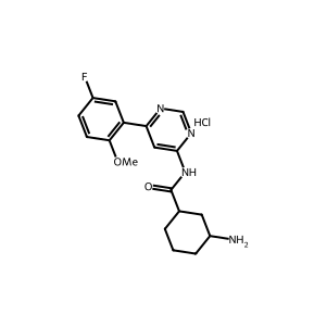 COc1ccc(F)cc1-c1cc(NC(=O)C2CCCC(N)C2)ncn1.Cl